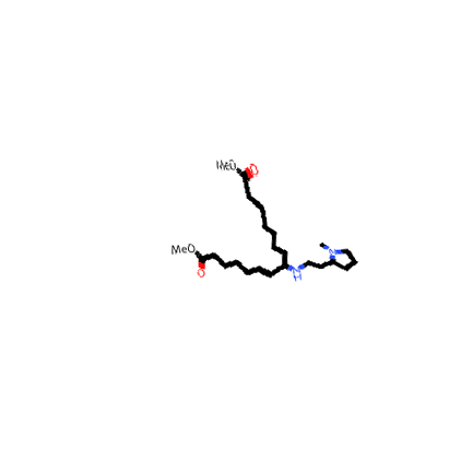 COC(=O)CCCCCCC(CCCCCCC(=O)OC)NCCC1CCCN1C